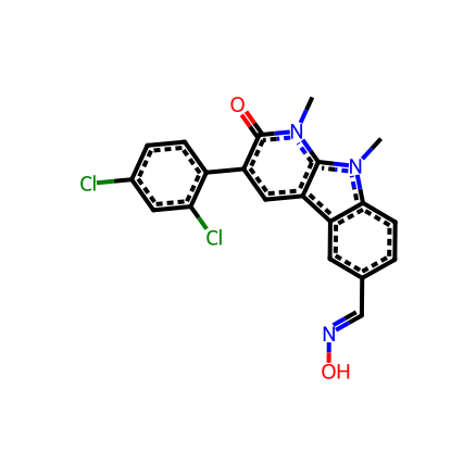 Cn1c(=O)c(-c2ccc(Cl)cc2Cl)cc2c3cc(C=NO)ccc3n(C)c21